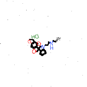 CC(C)CCNCCCN1C(=O)C2(COc3cc4c(cc32)CCO4)c2ccccc21.Cl